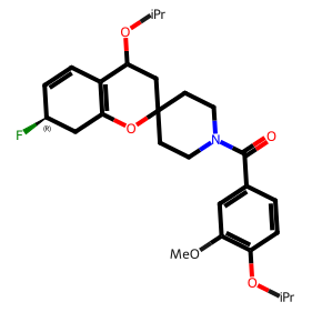 COc1cc(C(=O)N2CCC3(CC2)CC(OC(C)C)C2=C(C[C@@H](F)C=C2)O3)ccc1OC(C)C